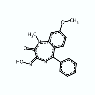 COc1ccc2c(-c3ccccc3)nc(=NO)c(=O)n(C)c2c1